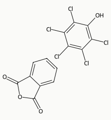 O=C1OC(=O)c2ccccc21.Oc1c(Cl)c(Cl)c(Cl)c(Cl)c1Cl